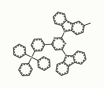 Cc1ccc2c(c1)c1ccccc1n2-c1nc(-c2cccc([Si](c3ccccc3)(c3ccccc3)c3ccccc3)c2)cc(-n2c3ccccc3c3ccccc32)n1